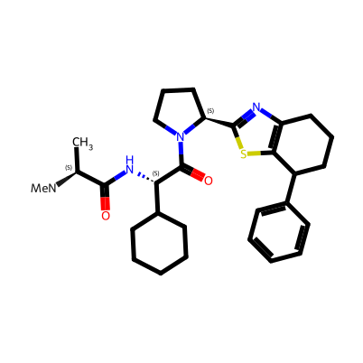 CN[C@@H](C)C(=O)N[C@H](C(=O)N1CCC[C@H]1c1nc2c(s1)C(c1ccccc1)CCC2)C1CCCCC1